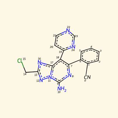 N#Cc1ccccc1-c1nc(N)n2nc(CCl)nc2c1-c1ccncn1